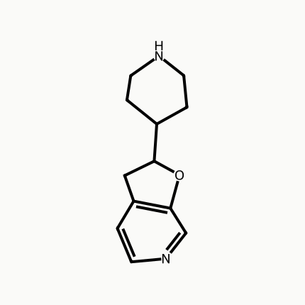 c1cc2c(cn1)OC(C1CCNCC1)C2